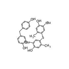 Cc1cc(O)c(C(C)(C)C)cc1Sc1cc(C(C)(C)C)c(O)cc1C.Oc1ccc(Cc2ccc(O)cc2)cc1